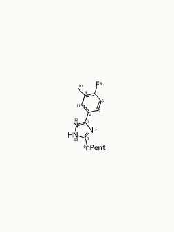 CCCCCc1nc(-c2ccc(F)c(C)c2)n[nH]1